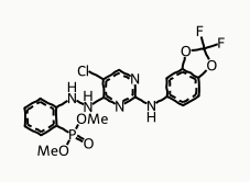 COP(=O)(OC)c1ccccc1NNc1nc(Nc2ccc3c(c2)OC(F)(F)O3)ncc1Cl